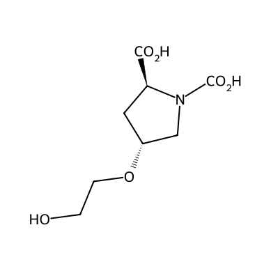 O=C(O)[C@@H]1C[C@@H](OCCO)CN1C(=O)O